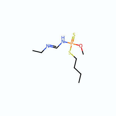 CCCCSP(=S)(N/C=N/CC)OC